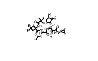 CCC[C@H](NC(=O)C1(NC(=O)C(C)(C)C)CC(F)(F)C1)C(=O)N[C@@H](C[C@@H]1CCNC1=O)C(O)C(=O)NC1CC1